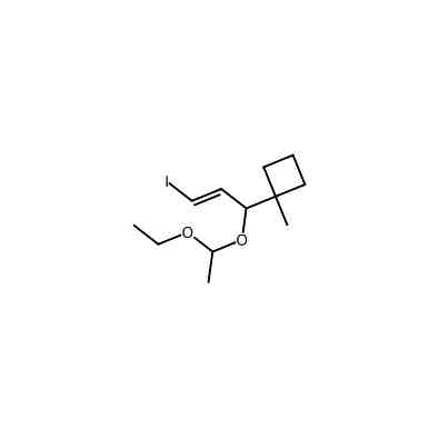 CCOC(C)OC(C=CI)C1(C)CCC1